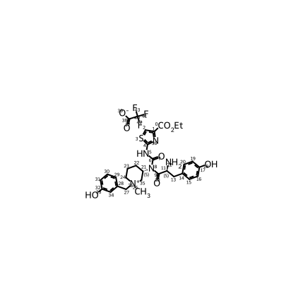 CCOC(=O)c1csc(NC(=O)N(C(=O)[C@@H](N)Cc2ccc(O)cc2)[C@H]2CCC[N+](C)(Cc3cccc(O)c3)C2)n1.O=C([O-])C(F)(F)F